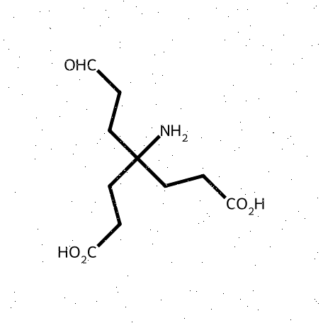 NC(CCC=O)(CCC(=O)O)CCC(=O)O